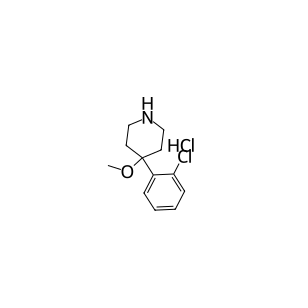 COC1(c2ccccc2Cl)CCNCC1.Cl